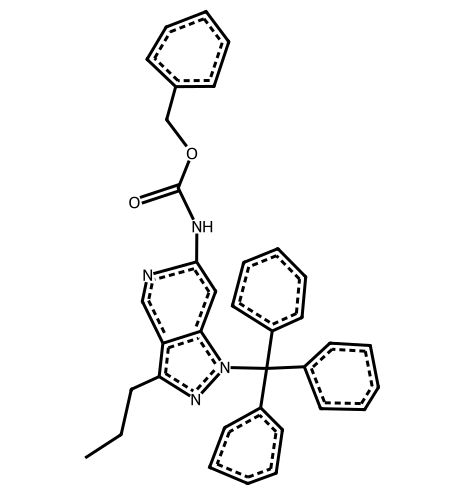 CCCc1nn(C(c2ccccc2)(c2ccccc2)c2ccccc2)c2cc(NC(=O)OCc3ccccc3)ncc12